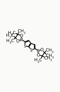 CC1(C)OB(c2cc3cc(B4OC(C)(C)C(C)(C)O4)sc3s2)OC1(C)C